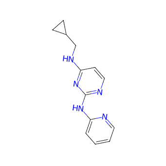 c1ccc(Nc2nccc(NCC3CC3)n2)nc1